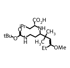 CC/C(=C\C(C)(C)C(CCNC(=O)OC(C)(C)C)N[C@@H](CC(C)C)C(=O)O)OC